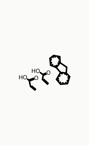 C=CC(=O)O.C=CC(=O)O.c1ccc2c(c1)Cc1ccccc1-2